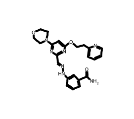 NC(=O)c1cccc(NN=Cc2nc(OCCc3ccccn3)cc(N3CCOCC3)n2)c1